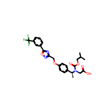 CC(C)COC(=O)N(CC(=O)O)[C@@H](C)c1ccc(OCc2noc(-c3cccc(C(F)(F)F)c3)n2)cc1